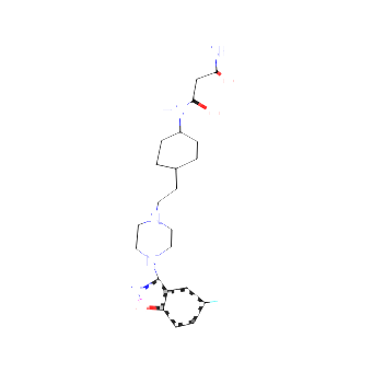 NC(=O)CC(=O)NC1CCC(CCN2CCN(c3noc4ccc(F)cc34)CC2)CC1